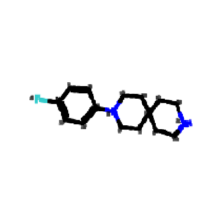 Fc1ccc(N2CCC3(CCNCC3)CC2)cc1